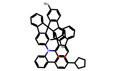 CC(C)(C)c1ccc2c(c1)C1(c3ccccc3-c3ccc(N(c4ccccc4-c4ccc(C5CCCC5)cc4)c4cccc5c4C(C)(C)c4ccccc4-5)cc31)c1cc(C(C)(C)C)ccc1-2